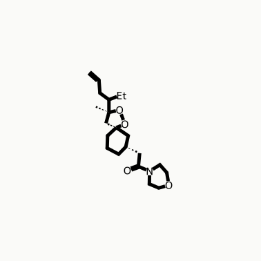 C=CCC(CC)[C@]1(C)C[C@]2(CCC[C@@H](CC(=O)N3CCOCC3)C2)OO1